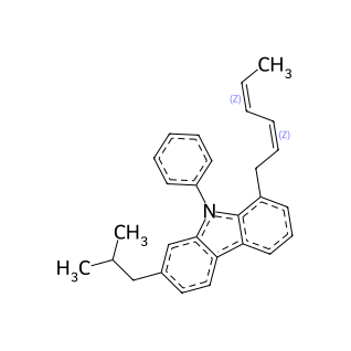 C/C=C\C=C/Cc1cccc2c3ccc(CC(C)C)cc3n(-c3ccccc3)c12